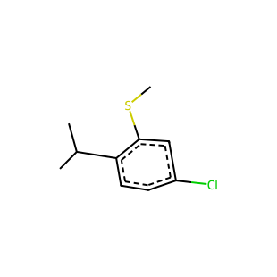 CSc1cc(Cl)ccc1C(C)C